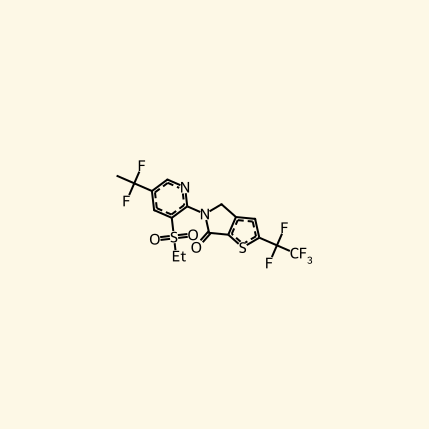 CCS(=O)(=O)c1cc(C(C)(F)F)cnc1N1Cc2cc(C(F)(F)C(F)(F)F)sc2C1=O